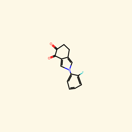 O=C1CCc2cn(-c3ccccc3F)cc2C1=O